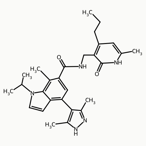 CCCc1cc(C)[nH]c(=O)c1CNC(=O)c1cc(-c2c(C)n[nH]c2C)c2ccn(C(C)C)c2c1C